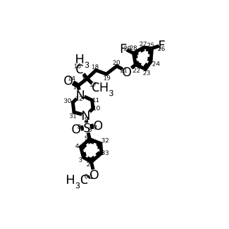 COc1ccc(S(=O)(=O)N2CCN(C(=O)C(C)(C)CCCOc3ccc(F)cc3F)CC2)cc1